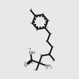 Cc1ccc(CCCC(C)CC(C)(N)C(=O)O)cc1